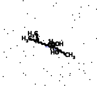 CCCCC[C@H](O)/C=C/[C@@H]1[C@H]2C/C(=C/CCCCN(CCCC)CCCC)C[C@H]2C[C@H]1O